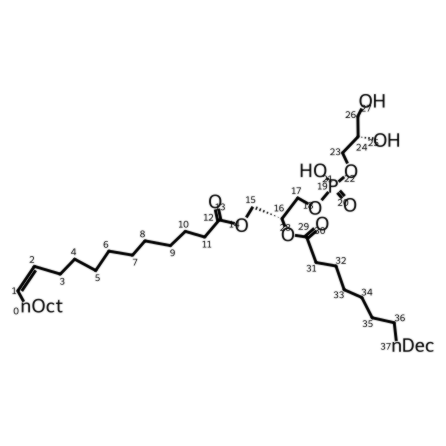 CCCCCCCC/C=C\CCCCCCCCCC(=O)OC[C@H](COP(=O)(O)OC[C@@H](O)CO)OC(=O)CCCCCCCCCCCCCCCC